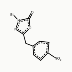 CCn1nc(Cc2ccc([N+](=O)[O-])cc2)oc1=O